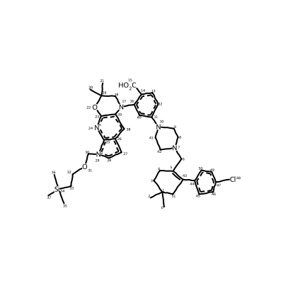 CC1(C)CCC(CN2CCN(c3ccc(C(=O)O)c(N4CC(C)(C)Oc5nc6c(ccn6COCC[Si](C)(C)C)cc54)c3)CC2)=C(c2ccc(Cl)cc2)C1